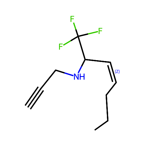 C#CCNC(/C=C\CCC)C(F)(F)F